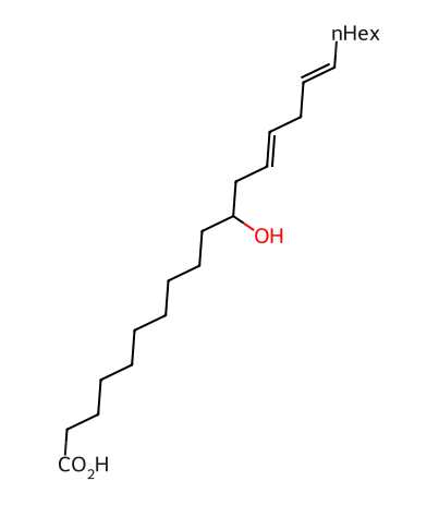 CCCCCCC=CCC=CCC(O)CCCCCCCCCC(=O)O